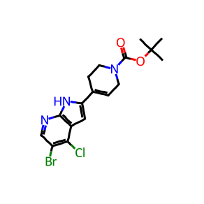 CC(C)(C)OC(=O)N1CC=C(c2cc3c(Cl)c(Br)cnc3[nH]2)CC1